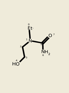 C[CH]N(CCO)C(N)=O